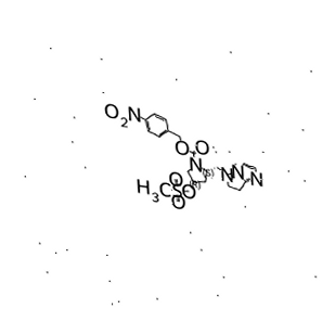 CS(=O)(=O)O[C@@H]1C[C@@H](CN2CCc3nccn32)N(C(=O)OCc2ccc([N+](=O)[O-])cc2)C1